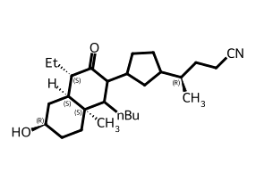 CCCCC1C(C2CCC([C@H](C)CCC#N)C2)C(=O)[C@@H](CC)[C@@H]2C[C@H](O)CC[C@]12C